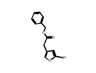 CC(C)c1cc(CC(=O)OCc2ccccc2)co1